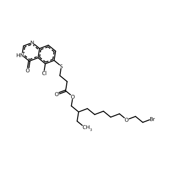 CCC(CCCCCOCCBr)COC(=O)CCSc1ccc2nc[nH]c(=O)c2c1Cl